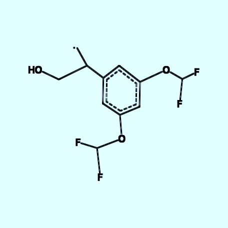 [CH2]C(CO)c1cc(OC(F)F)cc(OC(F)F)c1